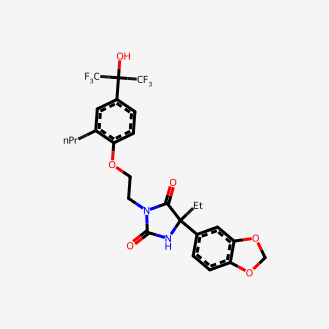 CCCc1cc(C(O)(C(F)(F)F)C(F)(F)F)ccc1OCCN1C(=O)NC(CC)(c2ccc3c(c2)OCO3)C1=O